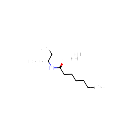 CCCCCCCCCCCCCCCC(=O)N[C@@H](CC(=O)O)C(=O)O.[KH].[KH]